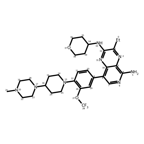 CCc1nc2c(N)ncc(-c3ccc(N4CCC(N5CCN(C)CC5)CC4)c(OC(F)(F)F)c3)c2nc1NC1CCOCC1